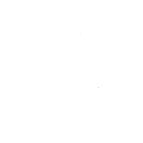 CC1CC(=O)N(c2ccc(C(=O)c3ccc(O)cc3)cc2)C1=O